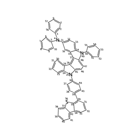 c1ccc(N(c2ccccc2)c2ccc3c(c2)c2c4c5ccccc5n(-c5ccc(-c6cccc7c6sc6ccccc67)cc5)c4ccc2n3-c2ccccc2)cc1